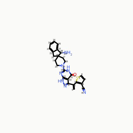 C=C(c1sccc1C#N)c1n[nH]c2nc(N3CCC4(CC3)Cc3ccccc3[C@H]4N)[nH]c(=O)c12